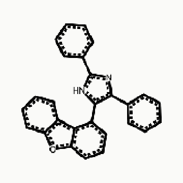 c1ccc(-c2nc(-c3ccccc3)c(-c3cccc4oc5ccccc5c34)[nH]2)cc1